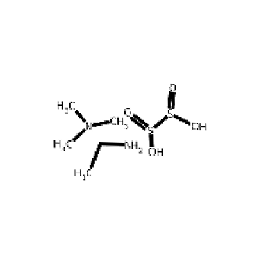 CCN.CN(C)C.O=S(O)S(=O)O